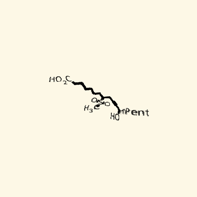 CCCCC[C@H](O)C#CCC(CCCCCCC(=O)O)S(C)(=O)=O